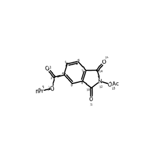 CCCOC(=O)c1ccc2c(c1)C(=O)N(OC(C)=O)C2=O